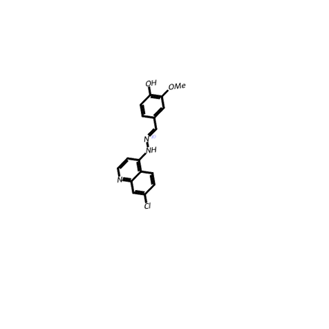 COc1cc(/C=N/Nc2ccnc3cc(Cl)ccc23)ccc1O